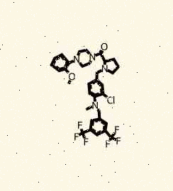 COc1ccccc1N1CCN(C(=O)C2CCCN2Cc2ccc(N(C)Cc3cc(C(F)(F)F)cc(C(F)(F)F)c3)c(Cl)c2)CC1